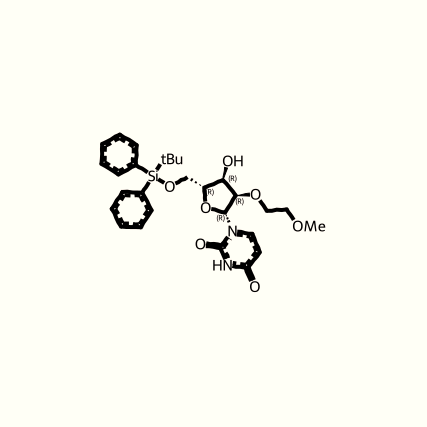 COCCO[C@@H]1[C@H](O)[C@@H](CO[Si](c2ccccc2)(c2ccccc2)C(C)(C)C)O[C@H]1n1ccc(=O)[nH]c1=O